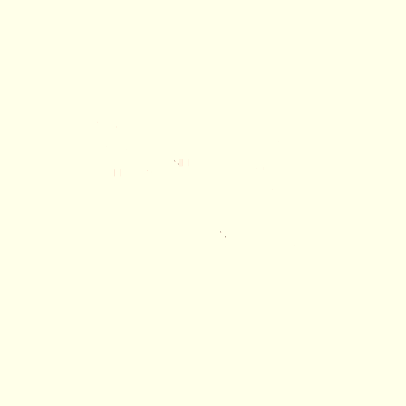 CCOC(=O)c1c(CCNC(=O)OC(C)(C)C)[nH]c(C=O)c1-c1ccccc1